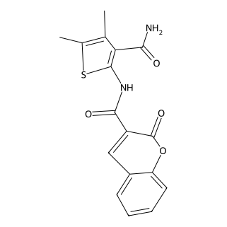 Cc1sc(NC(=O)c2cc3ccccc3oc2=O)c(C(N)=O)c1C